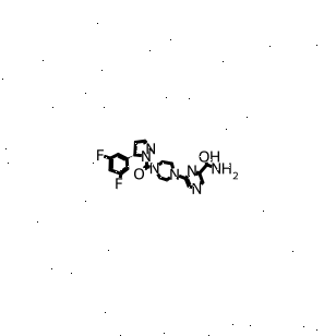 NC(O)c1cncc(N2CCN(C(=O)N3N=CC[C@H]3c3cc(F)cc(F)c3)CC2)n1